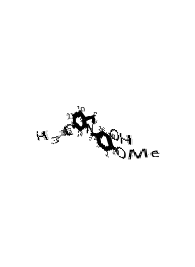 COc1ccc(CN2CCc3ccc(C)cc32)cc1O